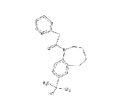 O=C(Cc1ccccn1)N1CCCCc2cc(C(O)(C(F)(F)F)C(F)(F)F)ccc21